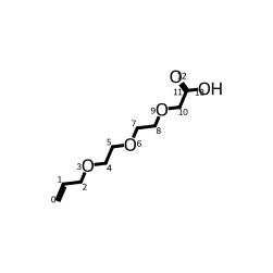 C=CCOCCOCCOCC(=O)O